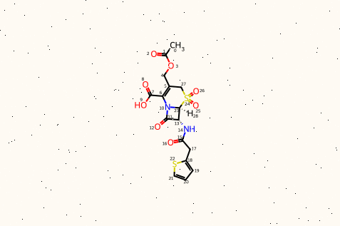 CC(=O)OCC1=C(C(=O)O)N2C(=O)[C@@H](NC(=O)Cc3cccs3)[C@@H]2S(=O)(=O)C1